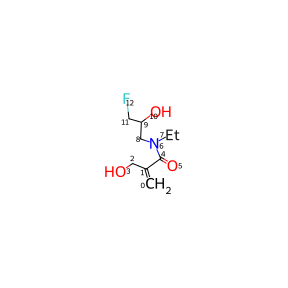 C=C(CO)C(=O)N(CC)CC(O)CF